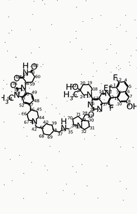 CCc1c(F)ccc2cc(O)cc(-c3ncc4c(N5CCC[C@@](C)(O)C5)nc(OC[C@@]56CCCN5[C@H](CNCC5CCC(CN7CCC(c8ccc9c(c8)n(C)c(=O)n9C8CCC(=O)NC8=O)CC7)CC5)CC6)nc4c3F)c12